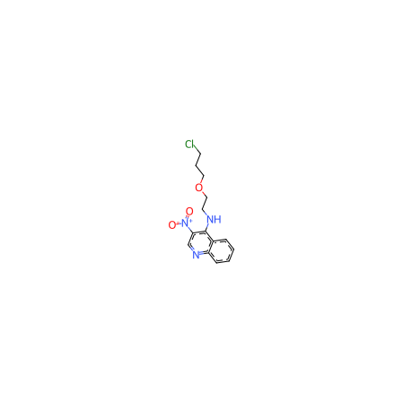 O=[N+]([O-])c1cnc2ccccc2c1NCCOCCCCl